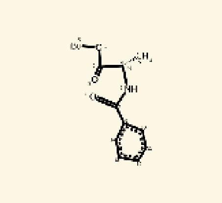 CCC(C)OC(=O)[C@H](C)NC(=O)c1ccccc1